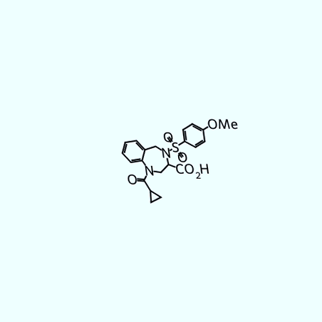 COc1ccc(S(=O)(=O)N2Cc3ccccc3N(C(=O)C3CC3)CC2C(=O)O)cc1